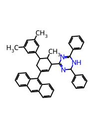 Cc1cc(C)cc(C2CC(c3c4ccccc4cc4ccccc34)=CC(C3=NC(c4ccccc4)NC(c4ccccc4)=N3)C2C)c1